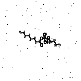 CCCCCCCC(=O)OP(=O)(O)OCCCC